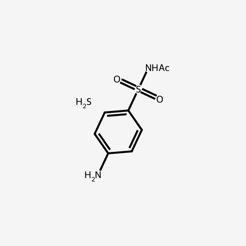 CC(=O)NS(=O)(=O)c1ccc(N)cc1.S